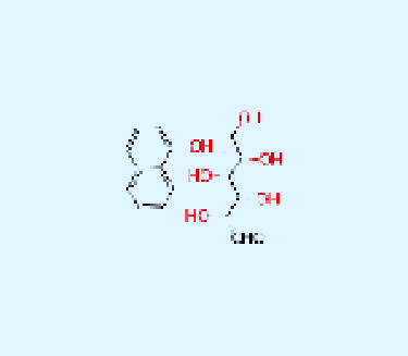 O=C[C@H](O)[C@@H](O)[C@H](O)[C@H](O)CO.Oc1cccc2ccccc12